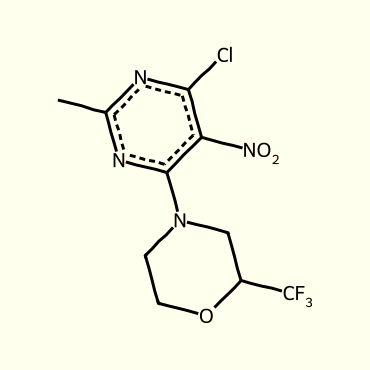 Cc1nc(Cl)c([N+](=O)[O-])c(N2CCOC(C(F)(F)F)C2)n1